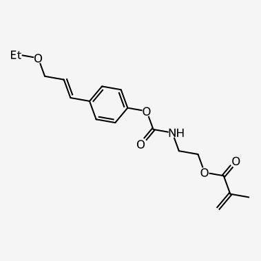 C=C(C)C(=O)OCCNC(=O)Oc1ccc(/C=C/COCC)cc1